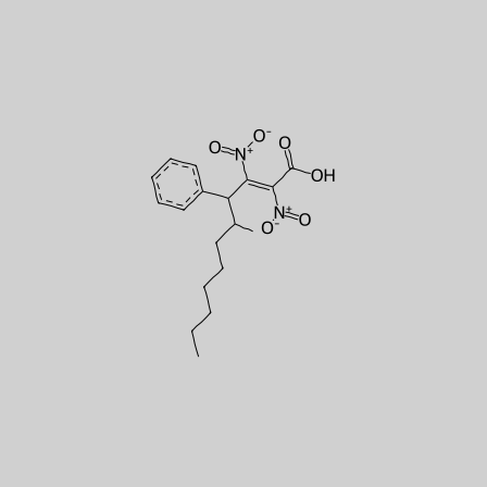 CCCCCCC(C)C(/C(=C(/C(=O)O)[N+](=O)[O-])[N+](=O)[O-])c1ccccc1